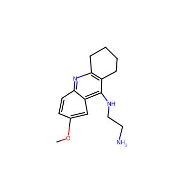 COc1ccc2nc3c(c(NCCN)c2c1)CCCC3